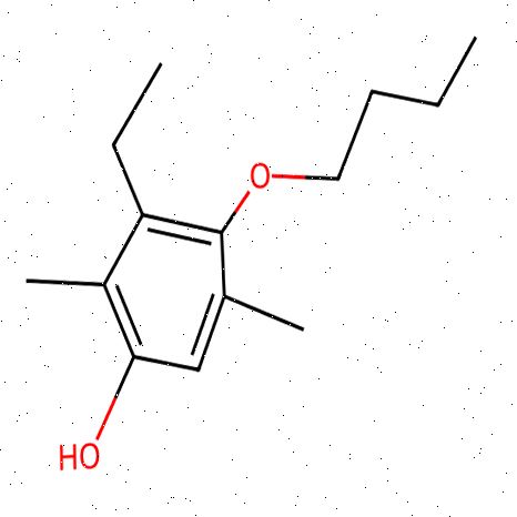 CCCCOc1c(C)cc(O)c(C)c1CC